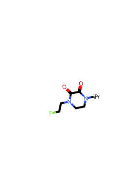 CC(C)N1CCN(CCF)C(=O)C1=O